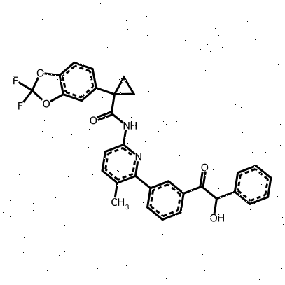 Cc1ccc(NC(=O)C2(c3ccc4c(c3)OC(F)(F)O4)CC2)nc1-c1cccc(C(=O)C(O)c2ccccc2)c1